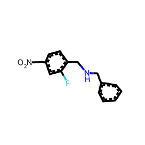 O=[N+]([O-])c1ccc(CNCc2ccccc2)c(F)c1